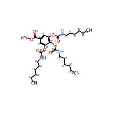 CCCOC(=O)c1cc(OC(=O)NCCCCCC#N)c(OC(=O)NCCCCCC#N)c(OC(=O)NCCCCCC#N)c1